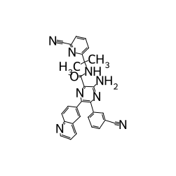 CC(C)(NC(=O)c1nc(-c2ccc3ncccc3c2)c(-c2cccc(C#N)c2)nc1N)c1cccc(C#N)n1